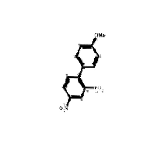 COc1ccc(-c2ccc([N+](=O)[O-])[c]c2[N+](=O)[O-])cc1